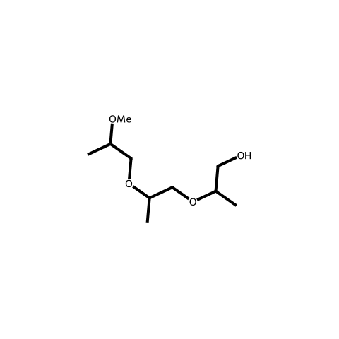 COC(C)COC(C)COC(C)CO